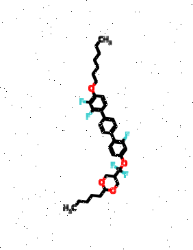 CCCCCCCOc1ccc(-c2ccc(-c3ccc(OC(F)(F)C4COC(CCCCC)OC4)cc3F)cc2)c(F)c1F